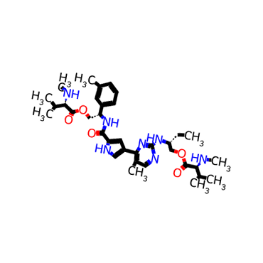 CC[C@H](COC(=O)[C@@H](NC)C(C)C)Nc1ncc(C)c(-c2c[nH]c(C(=O)N[C@H](COC(=O)[C@@H](NC)C(C)C)c3cccc(C)c3)c2)n1